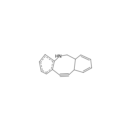 C1#CC2C=CC=CC2CNc2ccccc21